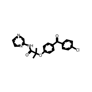 CC(C)(Oc1ccc(C(=O)c2ccc(Cl)cc2)cc1)C(=O)Nc1cnccn1